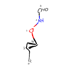 CCC=CONC=O